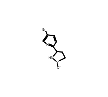 [O-][S+]1CCC(c2ccc(Br)cn2)N1